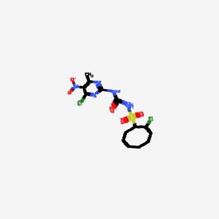 Cc1nc(NC(=O)NS(=O)(=O)C2CCCCCCC2Cl)nc(Cl)c1[N+](=O)[O-]